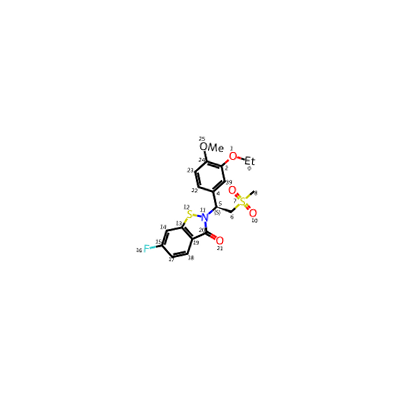 CCOc1cc([C@@H](CS(C)(=O)=O)n2sc3cc(F)ccc3c2=O)ccc1OC